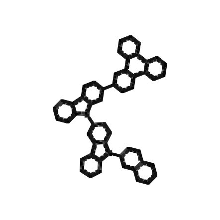 c1ccc2cc(-n3c4ccccc4c4cc(-n5c6ccccc6c6ccc(-c7ccc8c9ccccc9c9ccccc9c8c7)cc65)ccc43)ccc2c1